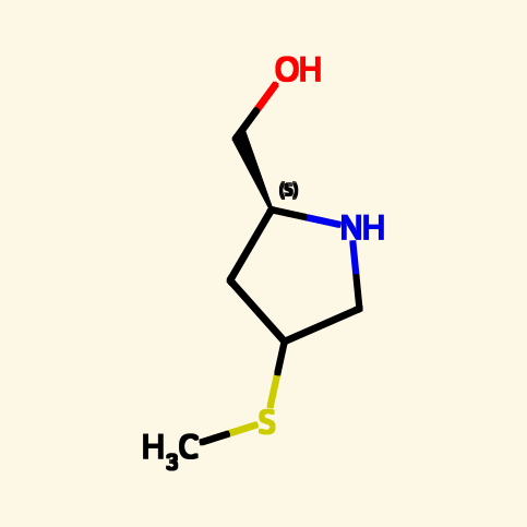 CSC1CN[C@H](CO)C1